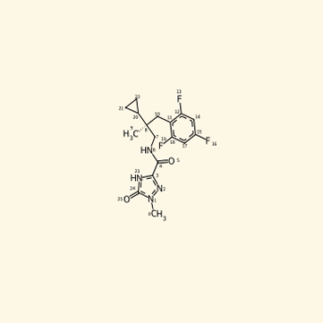 Cn1nc(C(=O)NC[C@](C)(Cc2c(F)cc(F)cc2F)C2CC2)[nH]c1=O